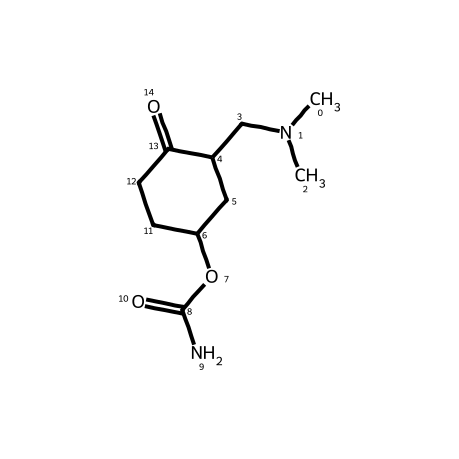 CN(C)CC1CC(OC(N)=O)CCC1=O